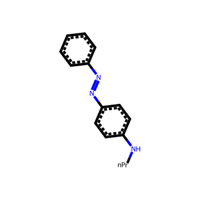 CCCNc1ccc(N=Nc2ccccc2)cc1